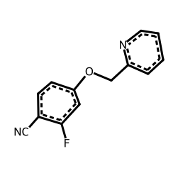 N#Cc1ccc(OCc2ccccn2)cc1F